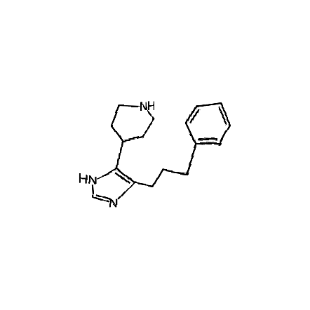 c1ccc(CCCc2nc[nH]c2C2CCNCC2)cc1